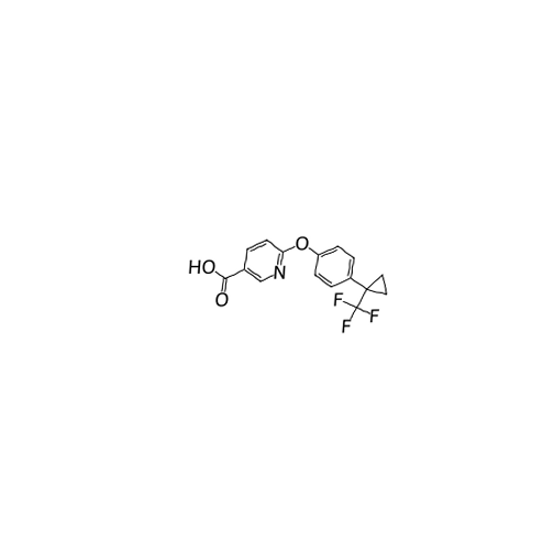 O=C(O)c1ccc(Oc2ccc(C3(C(F)(F)F)CC3)cc2)nc1